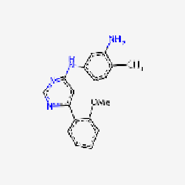 COc1ccccc1-c1cc(Nc2ccc(C)c(N)c2)ncn1